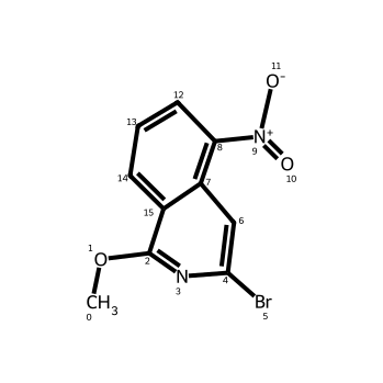 COc1nc(Br)cc2c([N+](=O)[O-])cccc12